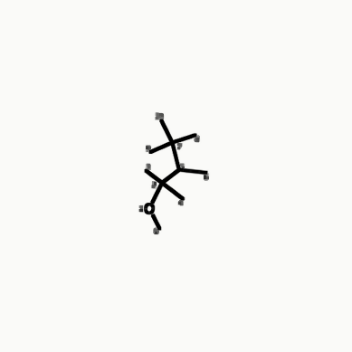 COC(C)(C)C(C)C(C)(C)C